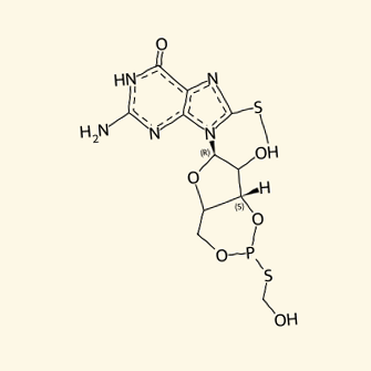 CSc1nc2c(=O)[nH]c(N)nc2n1[C@@H]1OC2COP(SCO)O[C@H]2C1O